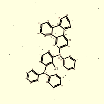 Clc1c(N(c2ccccc2)c2ccccc2)cccc1N(c1ccccc1)c1ccc2c3ccccc3c3ccccc3c2c1